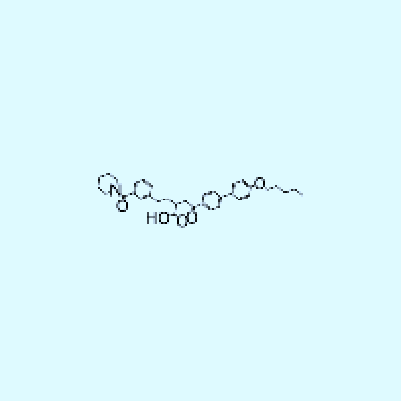 CCCCCOc1ccc(-c2ccc(C(=O)CC(CCc3cccc(C(=O)N4CCCCC4)c3)C(=O)O)cc2)cc1